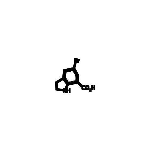 O=C(O)c1cc(Br)cc2c1NCC2